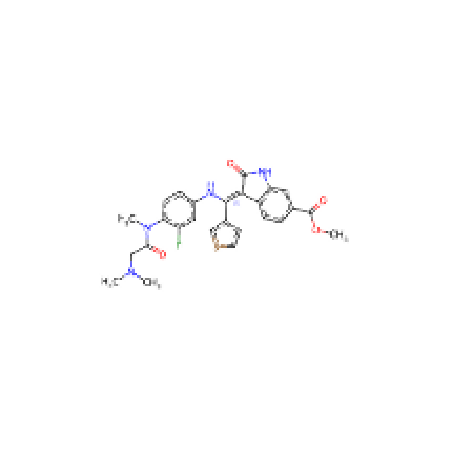 COC(=O)c1ccc2c(c1)NC(=O)/C2=C(\Nc1ccc(N(C)C(=O)CN(C)C)c(F)c1)c1ccsc1